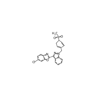 CS(=O)(=O)C1C=CC(Cn2nc(-c3nc4ccc(Cl)cc4o3)c3ccccc32)=CC1